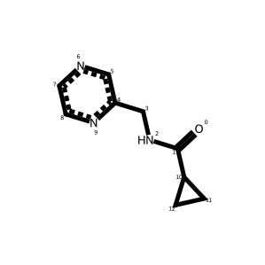 O=C(NCc1cnccn1)C1CC1